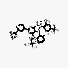 [2H]C([2H])([2H])c1cnc(S(=O)(=O)Nc2nc(-c3ccnc(-c4nnn[nH]4)c3)nc(OCC(C)(C)O)c2Oc2c(C)cccc2OC)c(C)c1